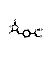 N=N/C(=C\S)c1ccc(/C=C2\SC(=O)NC2=O)cc1